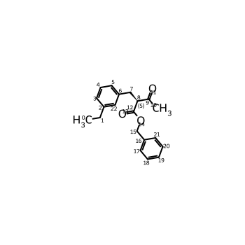 CCc1cccc(C[C@@H](C(C)=O)C(=O)OCc2ccccc2)c1